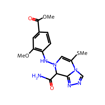 COC(=O)c1ccc(NN2C=C(SC)n3cnnc3C2C(N)=O)c(OC)c1